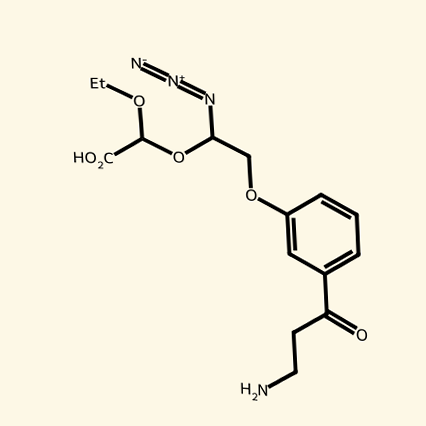 CCOC(OC(COc1cccc(C(=O)CCN)c1)N=[N+]=[N-])C(=O)O